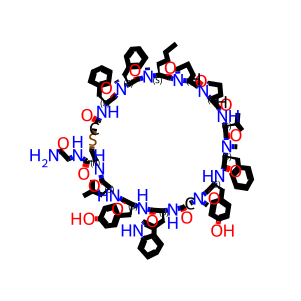 CCCC[C@H]1C(=O)N2CCC[C@@H]2C(=O)N2CCC[C@H]2C(=O)N[C@@H](C(C)C)C(=O)N(C)[C@@H](Cc2ccccc2)C(=O)N[C@@H](Cc2ccc(O)cc2)C(=O)N(C)CC(=O)N[C@@H](Cc2c[nH]c3ccccc23)C(=O)N[C@@H](Cc2ccc(O)cc2)C(=O)N[C@@H](CC(C)C)C(=O)N[C@H](C(=O)NCC(N)=O)CSCC(=O)N[C@@H](Cc2ccccc2)C(=O)N(C)[C@@H](Cc2ccccc2)C(=O)N1C